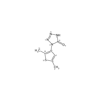 Cc1cc(-n2nn[nH]c2=O)c(C)s1